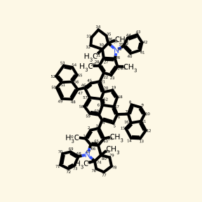 Cc1cc(-c2cc(-c3cccc4ccccc34)c3ccc4c(-c5cc(C)c6c(c5C)C5(C)CCCCC5(C)N6c5ccccc5)cc(-c5cccc6ccccc56)c5ccc2c3c45)c(C)c2c1N(c1ccccc1)C1(C)CCCCC21C